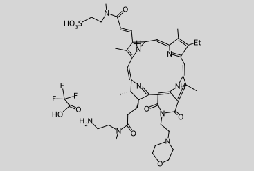 CCC1=C(C)c2cc3[nH]c(cc4nc(c5c6[nH]c(cc1n2)c(C)c6C(=O)N(CCN1CCOCC1)C5=O)[C@@H](CCC(=O)N(C)CCN)[C@@H]4C)c(C)c3/C=C/C(=O)N(C)CCS(=O)(=O)O.O=C(O)C(F)(F)F